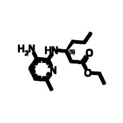 CCC[C@@H](CC(=O)OCC)Nc1nc(C)ccc1N